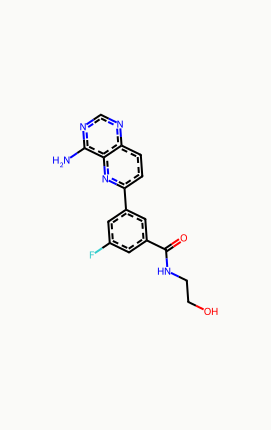 Nc1ncnc2ccc(-c3cc(F)cc(C(=O)NCCO)c3)nc12